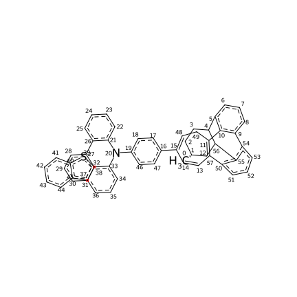 C[C@@H]1CCC2c3cccc4c3C3=C(C=CC(c5ccc(N(c6ccccc6-c6ccccc6)c6cccc7c6sc6ccccc67)cc5)=CC3)c3cccc-4c3C2C1